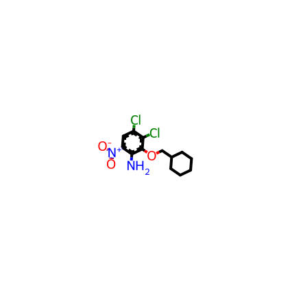 Nc1c([N+](=O)[O-])cc(Cl)c(Cl)c1OCC1CCCCC1